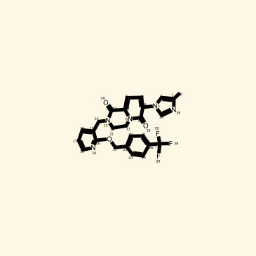 Cc1cn(-c2ccc3n(c2=O)CCN(Cc2cccnc2OCc2ccc(C(F)(F)F)cc2)C3=O)cn1